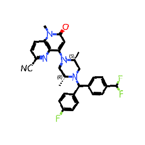 C[C@@H]1CN(c2cc(=O)n(C)c3ccc(C#N)nc23)[C@@H](C)CN1C(c1ccc(F)cc1)c1ccc(C(F)F)cc1